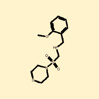 COc1ccccc1CPCS(=O)(=O)N1CCOCC1